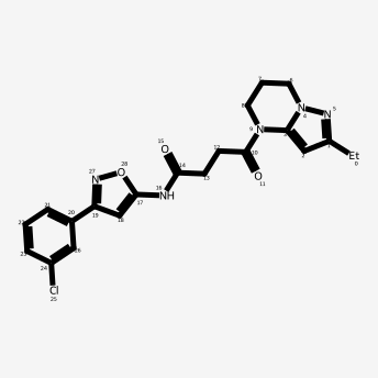 CCc1cc2n(n1)CCCN2C(=O)CCC(=O)Nc1cc(-c2cccc(Cl)c2)no1